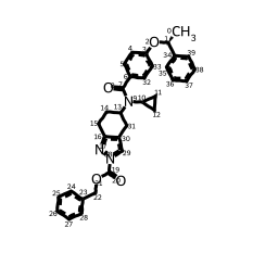 C[C@H](Oc1ccc(C(=O)N(C2CC2)C2CCc3nn(C(=O)OCc4ccccc4)cc3C2)cc1)c1ccccc1